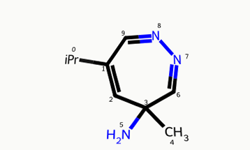 CC(C)C1=CC(C)(N)C=NN=C1